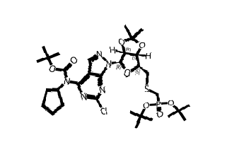 CC(C)(C)OC(=O)N(c1nc(Cl)nc2c1cnn2[C@@H]1O[C@H](CSCP(=O)(OC(C)(C)C)OC(C)(C)C)[C@H]2OC(C)(C)O[C@H]21)C1CCCC1